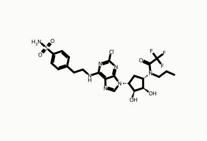 CCCN(C(=O)C(F)(F)F)[C@H]1C[C@@H](n2cnc3c(NCCc4ccc(S(N)(=O)=O)cc4)nc(Cl)nc32)[C@H](O)[C@@H]1O